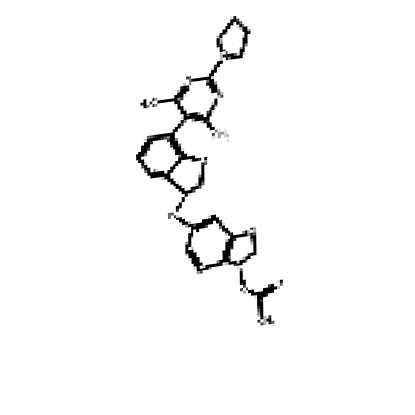 CC(=O)O[C@@H]1COc2cc(N[C@@H]3COc4c(-c5c(C)nc(N6CCCC6)nc5C)cccc43)ccc21